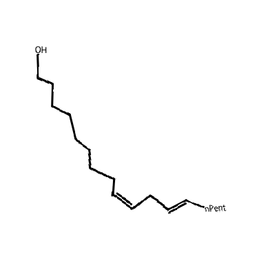 CCCCCC=CC/C=C\CCCCCCCCO